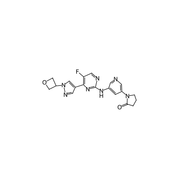 O=C1CCCN1c1cncc(Nc2ncc(F)c(-c3cnn(C4COC4)c3)n2)c1